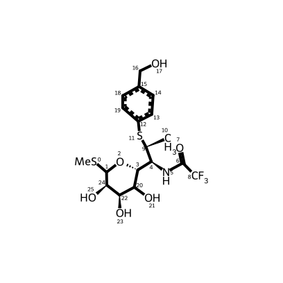 CSC1O[C@H]([C@H](NC(=O)C(F)(F)F)[C@H](C)Sc2ccc(CO)cc2)C(O)[C@@H](O)[C@H]1O